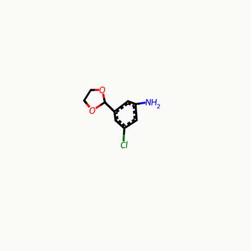 Nc1cc(Cl)cc(C2OCCO2)c1